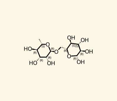 C[C@@H]1O[C@@H](OC[C@H]2O[C@@H](O)[C@H](O)[C@@H](O)[C@@H]2O)[C@H](O)[C@H](O)[C@H]1O